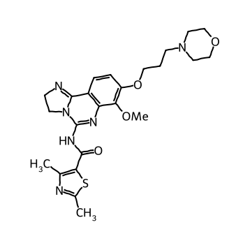 COc1c(OCCCN2CCOCC2)ccc2c1N=C(NC(=O)c1sc(C)nc1C)N1CCN=C21